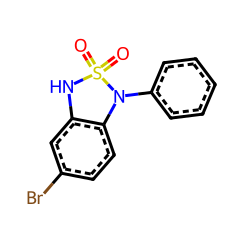 O=S1(=O)Nc2cc(Br)ccc2N1c1ccccc1